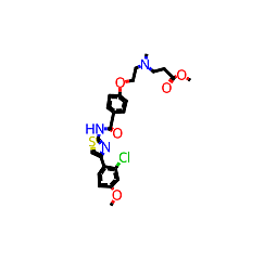 COC(=O)CCN(C)CCOc1ccc(C(=O)Nc2nc(-c3ccc(OC)cc3Cl)cs2)cc1